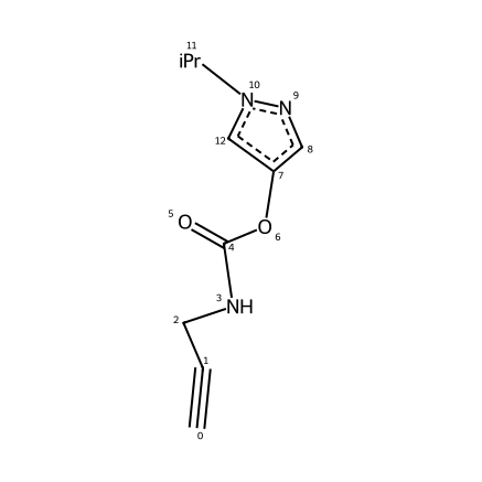 C#CCNC(=O)Oc1cnn(C(C)C)c1